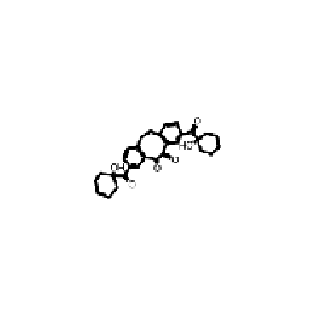 O=C1C(=O)c2cc(C(=O)C3(O)CCCCC3)ccc2CCc2ccc(C(=O)C3(O)CCCCC3)cc21